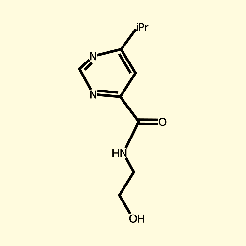 CC(C)c1cc(C(=O)NCCO)ncn1